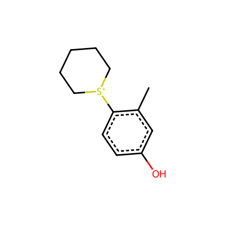 Cc1cc(O)ccc1[S+]1CCCCC1